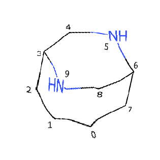 C1CCC2CNC(C1)CN2